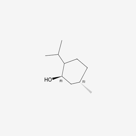 CC(C)C1CC[C@H](C)C[C@H]1O